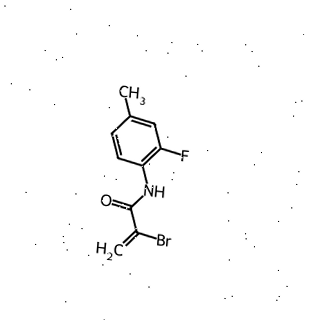 C=C(Br)C(=O)Nc1ccc(C)cc1F